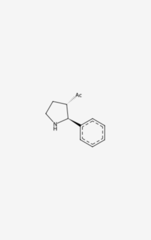 CC(=O)[C@H]1CCN[C@@H]1c1ccccc1